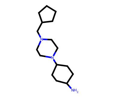 NC1CCC(N2CCN(CC3CCCC3)CC2)CC1